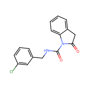 O=C1Cc2ccccc2N1C(=O)NCc1cccc(Cl)c1